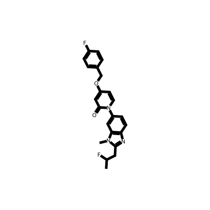 CC(F)Cc1nc2ccc(-n3ccc(OCc4ccc(F)cc4)cc3=O)cc2n1C